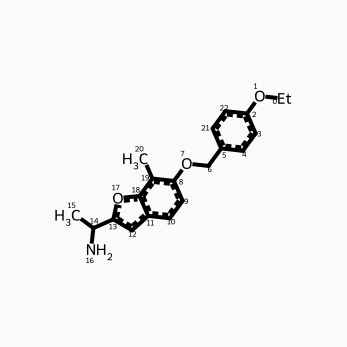 CCOc1ccc(COc2ccc3cc(C(C)N)oc3c2C)cc1